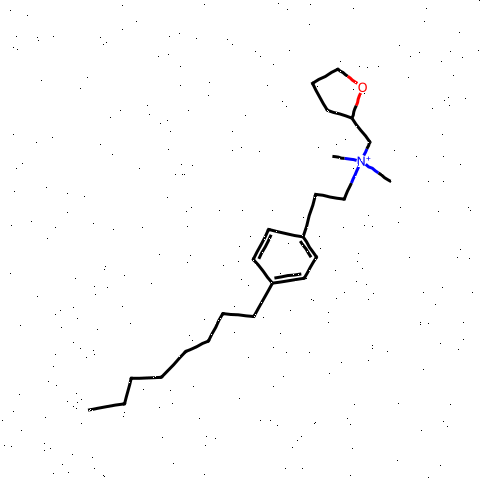 CCCCCCCCc1ccc(CC[N+](C)(C)CC2CCCO2)cc1